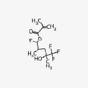 C=C(C)C(=O)OC(F)C(C)CC(C)(O)C(F)(F)F